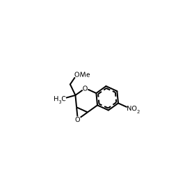 COCC1(C)Oc2ccc([N+](=O)[O-])cc2C2OC21